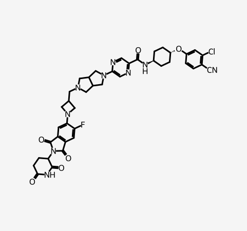 N#Cc1ccc(O[C@H]2CC[C@H](NC(=O)c3cnc(N4CC5CN(CC6CN(c7cc8c(cc7F)C(=O)N(C7CCC(=O)NC7=O)C8=O)C6)CC5C4)cn3)CC2)cc1Cl